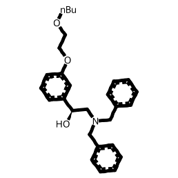 CCCCOCCOc1cccc([C@H](O)CN(Cc2ccccc2)Cc2ccccc2)c1